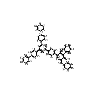 c1ccc(-c2ccc(-c3cc(-c4ccc(-c5ccccc5)cc4)nc(-c4ccc(-c5nc6cc7ccccc7cc6c6c5sc5ccccc56)cc4)n3)cc2)cc1